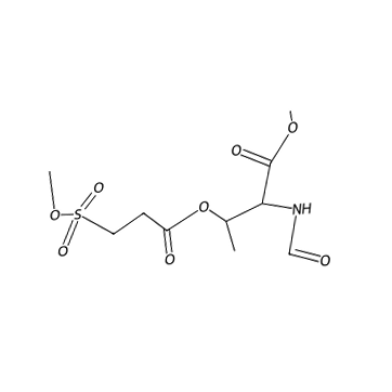 COC(=O)C(NC=O)C(C)OC(=O)CCS(=O)(=O)OC